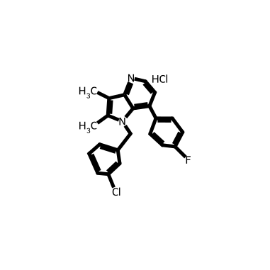 Cc1c(C)n(Cc2cccc(Cl)c2)c2c(-c3ccc(F)cc3)ccnc12.Cl